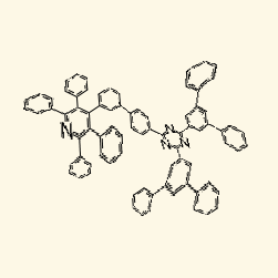 c1ccc(-c2cc(-c3ccccc3)cc(-c3nc(-c4ccc(-c5cccc(-c6c(-c7ccccc7)c(-c7ccccc7)nc(-c7ccccc7)c6-c6ccccc6)c5)cc4)nc(-c4cc(-c5ccccc5)cc(-c5ccccc5)c4)n3)c2)cc1